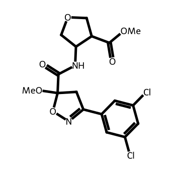 COC(=O)C1COCC1NC(=O)C1(OC)CC(c2cc(Cl)cc(Cl)c2)=NO1